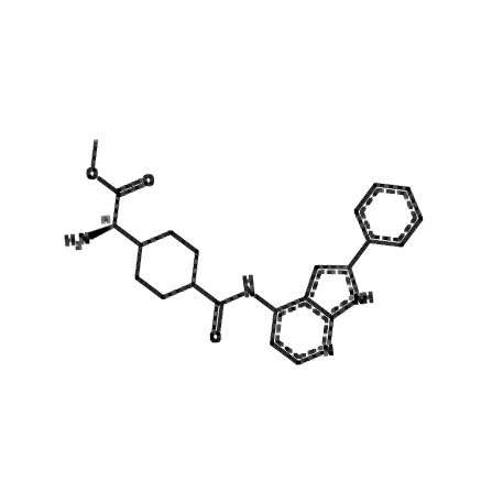 COC(=O)[C@H](N)C1CCC(C(=O)Nc2ccnc3[nH]c(-c4ccccc4)cc23)CC1